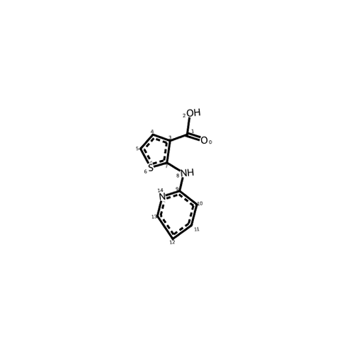 O=C(O)c1ccsc1Nc1ccccn1